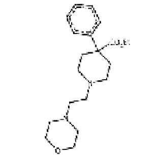 CCOC(=O)C1(c2ccccc2)CCN(CCN2CCOCC2)CC1